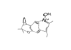 Cc1cc(C)[n+](O)c2cc3c(cc12)OC(C)(C)C1OC31